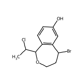 CC(Cl)C1OCCC(Br)c2cc(O)ccc21